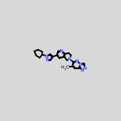 Cc1cc2nncn2nc1N1CCc2ncc(-c3cnn(C4CCCCC4)c3)cc2C1